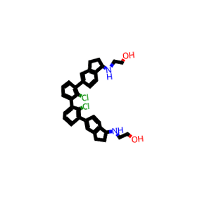 OCCNC1CCc2cc(-c3cccc(-c4cccc(-c5ccc6c(c5)CCC6NCCO)c4Cl)c3Cl)ccc21